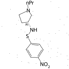 CCCN1CC[C@@H](NSc2ccc([N+](=O)[O-])cc2)C1